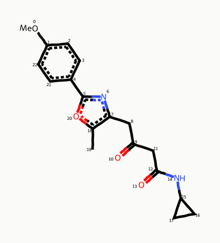 COc1ccc(-c2nc(CC(=O)CC(=O)NC3CC3)c(C)o2)cc1